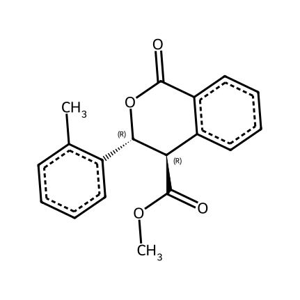 COC(=O)[C@@H]1c2ccccc2C(=O)O[C@H]1c1ccccc1C